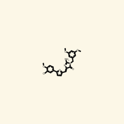 COc1cc(CN2C(=O)C(=Cc3ccc(-c4ccc(OC)c(Cl)c4)o3)N=C2N)cc(OC)c1